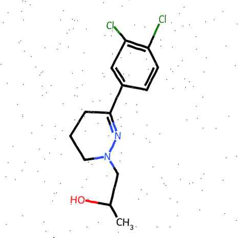 CC(O)CN1CCCC(c2ccc(Cl)c(Cl)c2)=N1